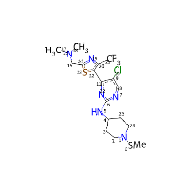 CSN1CCC(Nc2ncc(Cl)c(-c3sc(CN(C)C)nc3C(F)(F)F)n2)CC1